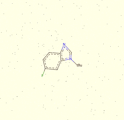 CC(C)(C)n1cnc2ccc(F)cc21